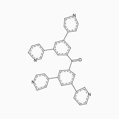 O=C(c1cc(-c2ccncc2)cc(-c2cccnc2)c1)c1cc(-c2ccncc2)cc(-c2cccnc2)c1